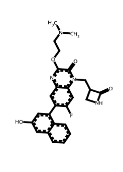 CN(C)CCOc1nc2cc(-c3cc(O)cc4ccccc34)c(F)cc2n(CC2CNC2=O)c1=O